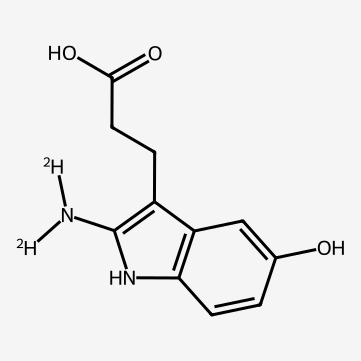 [2H]N([2H])c1[nH]c2ccc(O)cc2c1CCC(=O)O